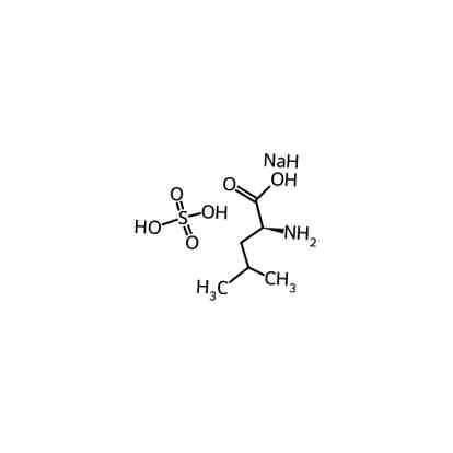 CC(C)C[C@H](N)C(=O)O.O=S(=O)(O)O.[NaH]